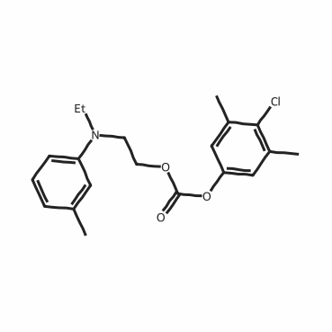 CCN(CCOC(=O)Oc1cc(C)c(Cl)c(C)c1)c1cccc(C)c1